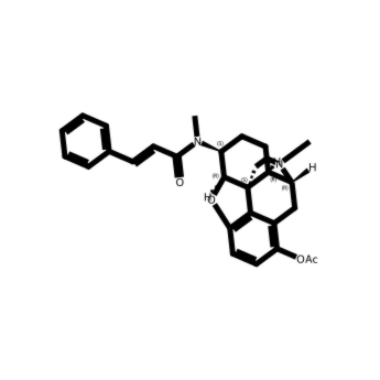 CC(=O)Oc1ccc2c3c1C[C@@H]1[C@@H]4CC[C@H](N(C)C(=O)C=Cc5ccccc5)[C@H](O2)[C@]34CCN1C